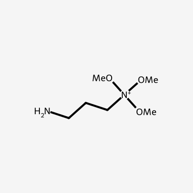 CO[N+](CCCN)(OC)OC